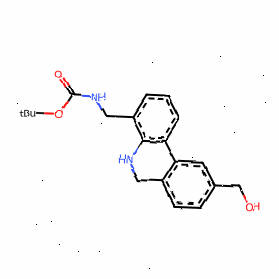 CC(C)(C)OC(=O)NCc1cccc2c1NCc1ccc(CO)cc1-2